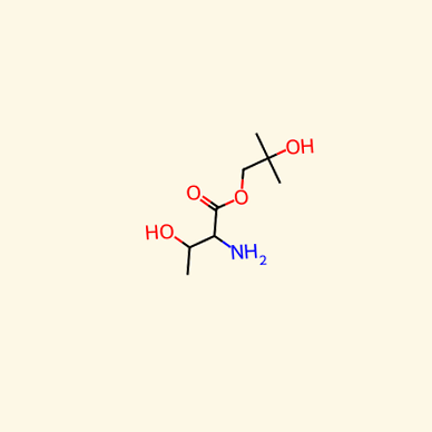 CC(O)C(N)C(=O)OCC(C)(C)O